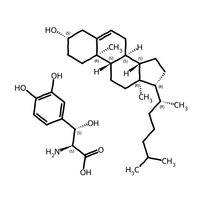 CC(C)CCC[C@@H](C)[C@H]1CC[C@H]2[C@@H]3CC=C4C[C@@H](O)CC[C@]4(C)[C@H]3CC[C@]12C.N[C@H](C(=O)O)[C@@H](O)c1ccc(O)c(O)c1